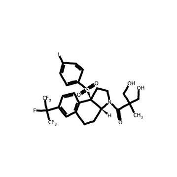 CC(CO)(CO)C(=O)N1CC[C@@]2(S(=O)(=O)c3ccc(I)cc3)c3ccc(C(F)(C(F)(F)F)C(F)(F)F)cc3CC[C@@H]12